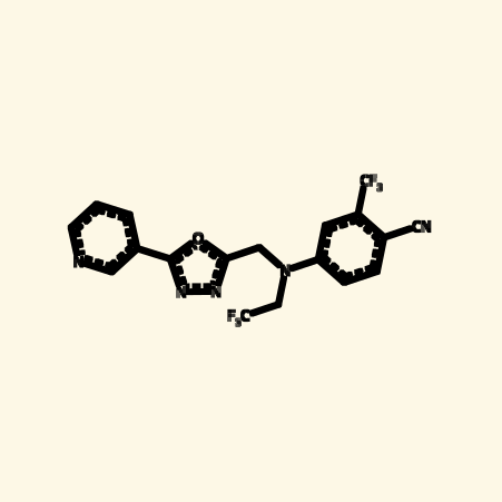 N#Cc1ccc(N(Cc2nnc(-c3cccnc3)o2)CC(F)(F)F)cc1C(F)(F)F